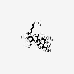 CCCCCN[C@@H]1[C@@H](OC(C)CN(C(=O)[C@H](C)N)[C@H](CCC(=O)O)C(N)=O)[C@H](O)[C@@H](CO)O[C@@H]1O